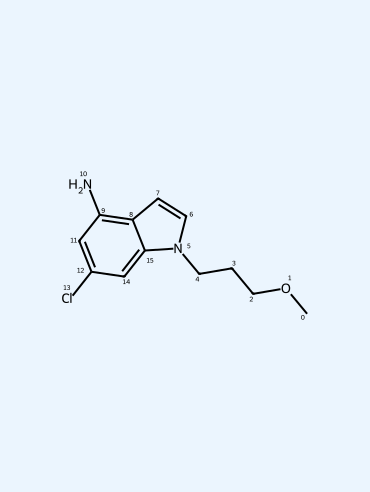 COCCCn1ccc2c(N)cc(Cl)cc21